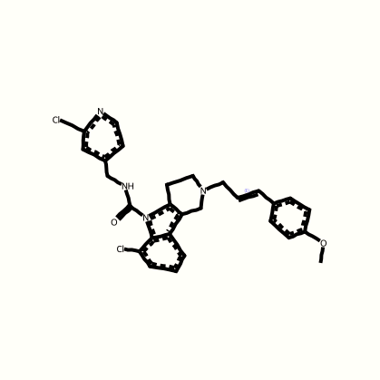 COc1ccc(/C=C/CN2CCc3c(c4cccc(Cl)c4n3C(=O)NCc3ccnc(Cl)c3)C2)cc1